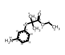 CCOC(=O)C(C)(C)Sc1cccc(N)c1